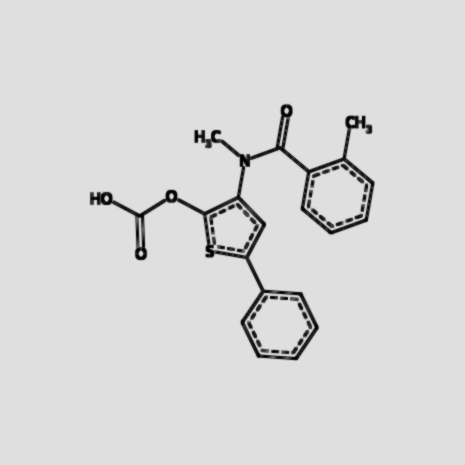 Cc1ccccc1C(=O)N(C)c1cc(-c2ccccc2)sc1OC(=O)O